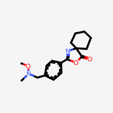 CON(C)Cc1ccc(C2=NC3(CCCCC3)C(=O)O2)cc1